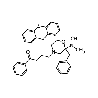 CN(C)C1(Cc2ccccc2)CN(CCCC(=O)c2ccccc2)CCO1.c1ccc2c(c1)Cc1ccccc1S2